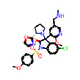 CNCc1cnc(OC)c(C2(N3CCC[C@H]3c3ncco3)C(=O)N(S(=O)(=O)c3ccc(OC)cc3)c3ccc(Cl)cc32)c1